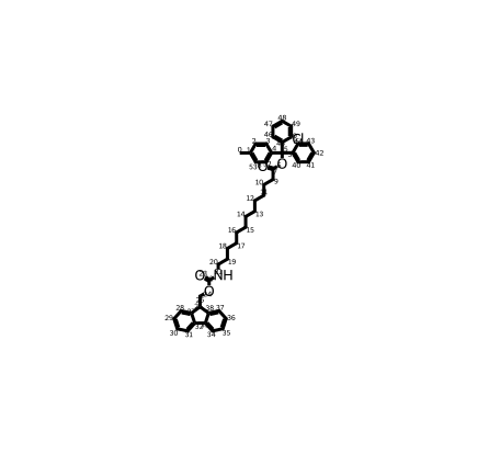 Cc1ccc(C(OC(=O)CCCCCCCCCCCCNC(=O)OCC2c3ccccc3-c3ccccc32)(c2ccccc2)c2ccccc2Cl)cc1